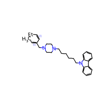 C/C=C(\C=C/CC)CN1CCN(CCCCCCn2c3ccccc3c3ccccc32)CC1